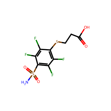 NS(=O)(=O)c1c(F)c(F)c(SCCC(=O)O)c(F)c1F